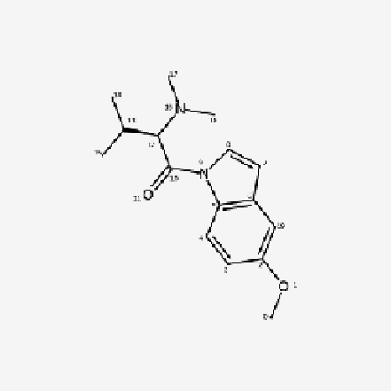 COc1ccc2c(ccn2C(=O)[C@@H](C(C)C)N(C)C)c1